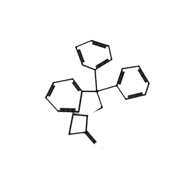 O=C1CC[C@H]1CC(c1ccccc1)(c1ccccc1)c1ccccc1